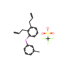 C=CCc1cccc([I+]c2cccc(C)c2)c1CC=C.O=S(=O)([O-])C(F)(F)F